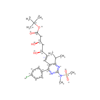 CC(C)c1nc(N(C)S(C)(=O)=O)nc(-c2ccc(F)cc2)c1/C=C/[C@@H](O)C[C@@H](O)CC(=O)OC(C)(C)C